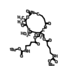 CC(C)(C)OC(=O)NCCCC(=O)OCC1(COC(=O)CCCNC(=O)OC(C)(C)C)COC(=O)CCCNC(=O)OC(C)(C)C(=O)NC(C(=O)O)C1C(=O)O